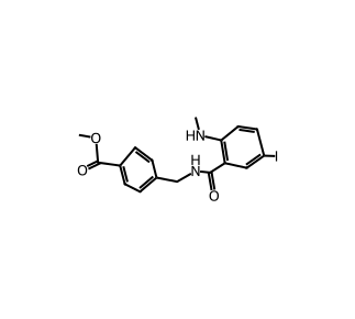 CNc1ccc(I)cc1C(=O)NCc1ccc(C(=O)OC)cc1